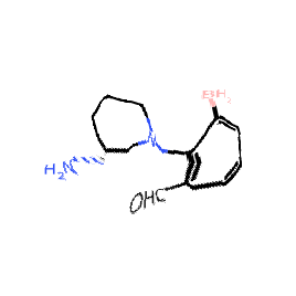 Bc1cccc(C=O)c1N1CCC[C@@H](N)C1